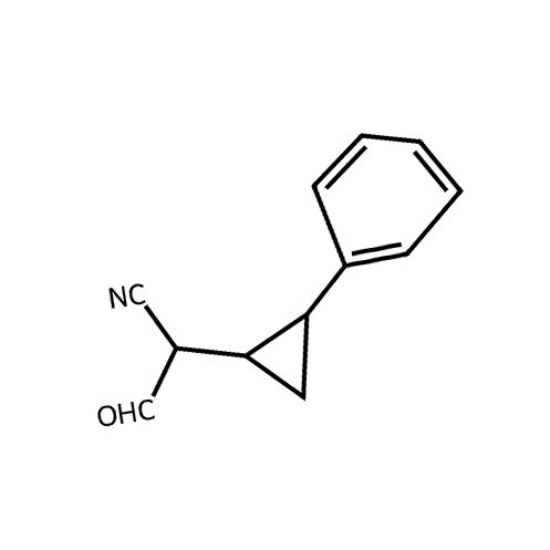 N#CC(C=O)C1CC1c1ccccc1